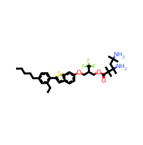 CCCCCc1ccc(-c2cc3ccc(OCC(COC(=O)C(C)(C)C(C)(N)CC(C)(C)N)C(F)(F)F)cc3s2)c(CC)c1